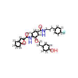 O=C(NCCCc1ccc(F)cc1)c1ccc(NC(=O)c2cc3ccccc3o2)c(OCCc2ccc(O)cc2)c1